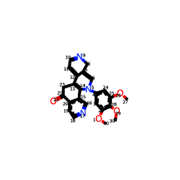 COc1cc(N2C=C3CN=CC=C3C3=C2c2cnccc2C(=O)C3)cc(OC)c1OC